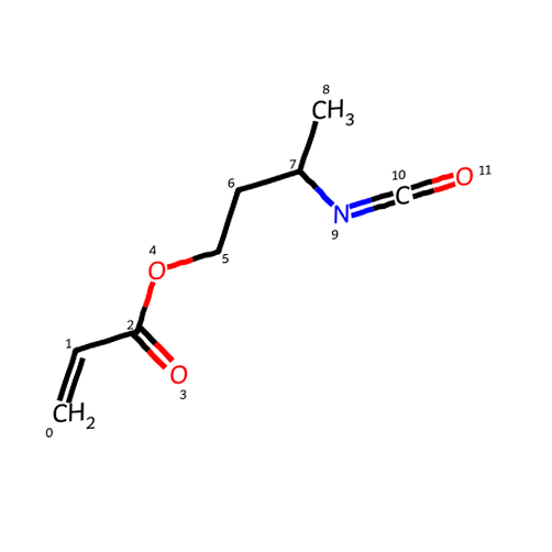 C=CC(=O)OCCC(C)N=C=O